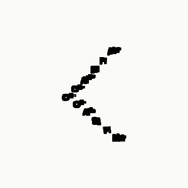 [Al+3].[Al+3].[Mn].[Mn].[O-2].[O-2].[O-2].[P].[P].[Si].[Si]